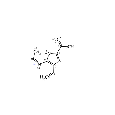 C=Cc1cc(C(=C)C)[nH]c1/N=C\C